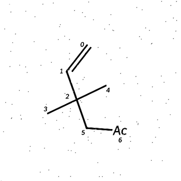 C=CC(C)(C)CC(C)=O